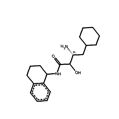 N[C@H](CC1CCCCC1)C(O)C(=O)NC1CCCc2ccccc21